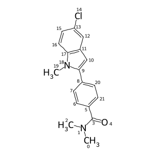 CN(C)C(=O)c1ccc(-c2cc3cc(Cl)ccc3n2C)cc1